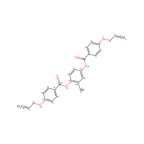 C=CCOc1ccc(C(=O)Oc2ccc(OC(=O)c3ccc(OCC=C)cc3)c(C(C)(C)C)c2)cc1